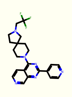 FC(F)(F)CN1CCC2(CCN(c3nc(-c4ccncc4)nc4cnccc34)CC2)C1